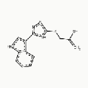 C=C(O)CSc1nnc(-c2c[nH]c3ccccc23)[nH]1